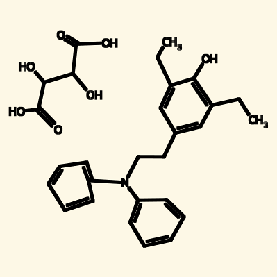 CCc1cc(CCN(c2ccccc2)c2ccccc2)cc(CC)c1O.O=C(O)C(O)C(O)C(=O)O